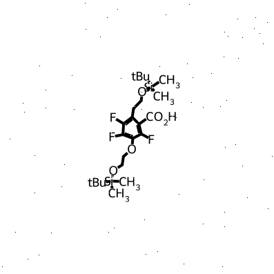 CC(C)(C)[Si](C)(C)OCCOc1c(F)c(F)c(CCO[Si](C)(C)C(C)(C)C)c(C(=O)O)c1F